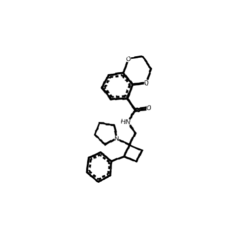 O=C(NCC1(N2CCCC2)CCC1c1ccccc1)c1cccc2c1OCCO2